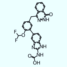 O=C(O)Nc1nc2cc(-c3cc(Cc4n[nH]c(=O)c5ccccc45)ccc3OC(F)F)ccc2[nH]1